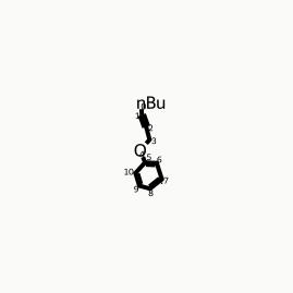 CCCCC#CCOc1c[c]ccc1